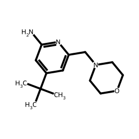 CC(C)(C)c1cc(N)nc(CN2CCOCC2)c1